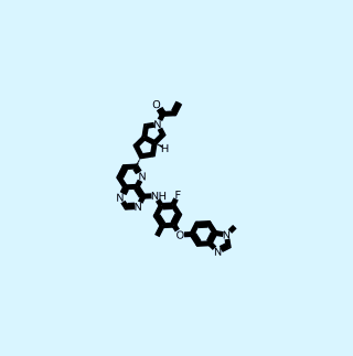 C=CC(=O)N1CC2C[C@@H](c3ccc4ncnc(Nc5cc(C)c(Oc6ccc7c(c6)ncn7C)cc5F)c4n3)C[C@@H]2C1